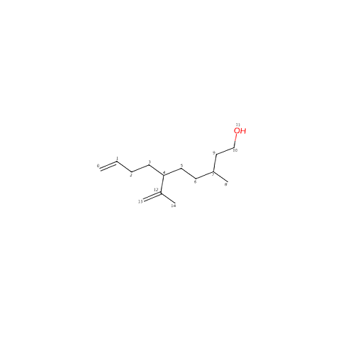 C=CCCC(CCC(C)CCO)C(=C)C